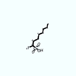 CCCCCCCC(F)S(=O)(=O)O